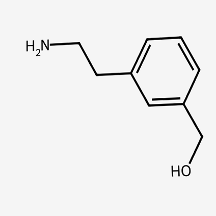 NCCc1cccc(CO)c1